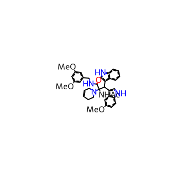 COc1cc(CNC(=O)C(NC(C)=O)(C(c2c[nH]c3ccccc23)c2c[nH]c3ccc(OC)cc23)N2CC=CCC2)cc(OC)c1